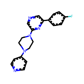 Fc1ccc(-c2cncc(N3CCN(c4ccncc4)CC3)n2)cc1